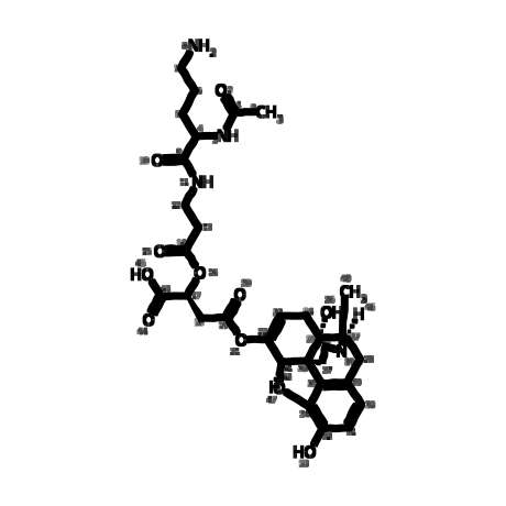 CC(=O)NC(CCCN)C(=O)NCCC(=O)O[C@@H](CC(=O)OC1=CC[C@@]2(O)[C@H]3Cc4ccc(O)c5c4[C@@]2(CCN3C)[C@H]1O5)C(=O)O